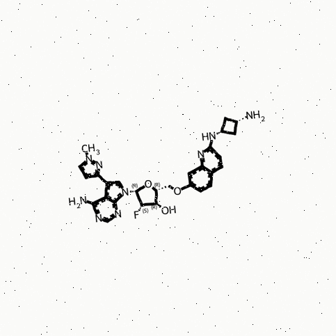 Cn1ccc(-c2cn([C@@H]3O[C@H](COc4ccc5ccc(N[C@H]6C[C@@H](N)C6)nc5c4)[C@@H](O)[C@@H]3F)c3ncnc(N)c23)n1